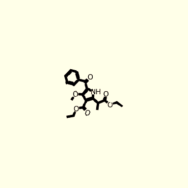 CCOC(=O)c1c(C(C)C(=O)OCC)[nH]c(C(=O)c2ccccc2)c1OC